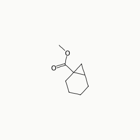 COC(=O)C12CCCCC1C2